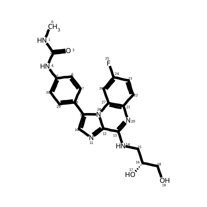 CNC(=O)Nc1ccc(-c2cnc3c(NC[C@@H](O)CO)nc4ccc(F)cc4n23)cc1